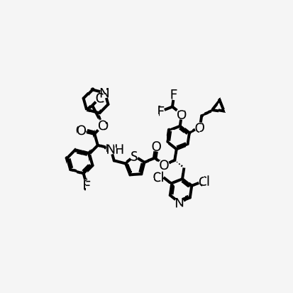 O=C(O[C@@H](Cc1c(Cl)cncc1Cl)c1ccc(OC(F)F)c(OCC2CC2)c1)c1ccc(CNC(C(=O)OC2CN3CCC2CC3)c2cccc(F)c2)s1